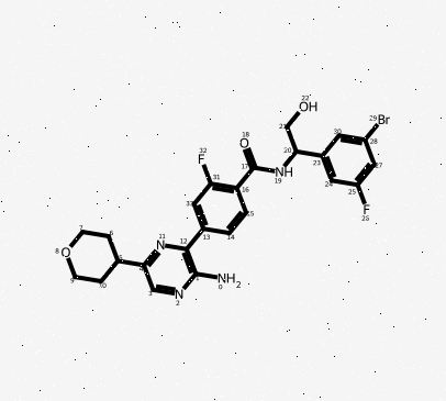 Nc1ncc(C2CCOCC2)nc1-c1ccc(C(=O)NC(CO)c2cc(F)cc(Br)c2)c(F)c1